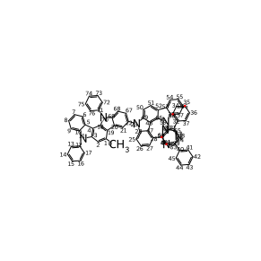 Cc1cc2c(c3ccccc3n2-c2ccccc2)c2c1c1cc(-n3c4cccc(-c5nc(-c6ccccc6)nc(-c6ccccc6)n5)c4c4c3ccc3c5ccccc5n(-c5ccccc5)c34)ccc1n2-c1ccccc1